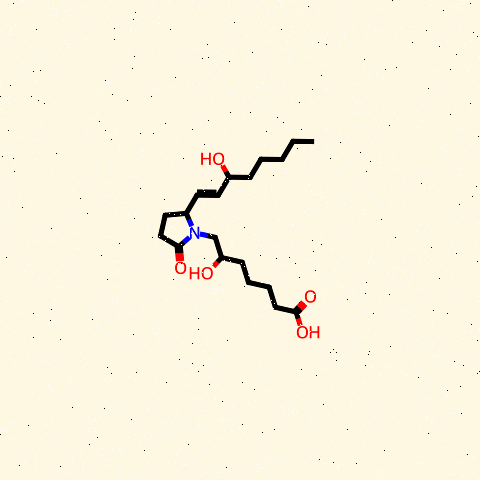 CCCCCC(O)/C=C/C1CCC(=O)N1CC(O)CCCCC(=O)O